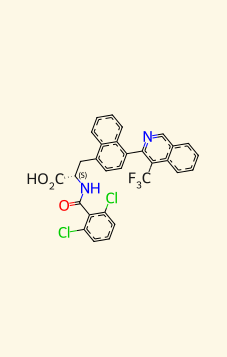 O=C(N[C@@H](Cc1ccc(-c2ncc3ccccc3c2C(F)(F)F)c2ccccc12)C(=O)O)c1c(Cl)cccc1Cl